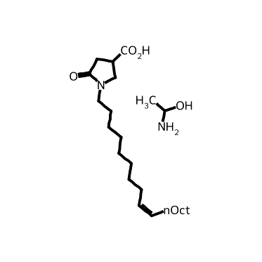 CC(N)O.CCCCCCCC/C=C\CCCCCCCCN1CC(C(=O)O)CC1=O